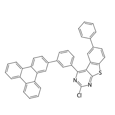 Clc1nc(-c2cccc(-c3ccc4c5ccccc5c5ccccc5c4c3)c2)c2c(n1)sc1ccc(-c3ccccc3)cc12